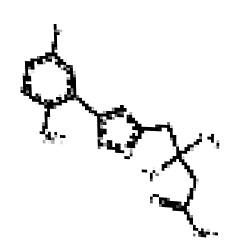 COC(=O)CC(C)(C)Cc1nc(-c2cc(Cl)ccc2OC)no1